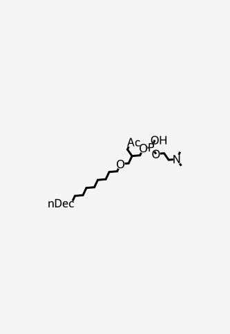 CCCCCCCCCCCCCCCCCCOCC(COP(O)OCCN(C)C)CC(C)=O